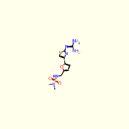 CN(C)S(=O)(=O)NCc1ccc(-c2csc(N=C(N)N)n2)o1